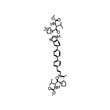 COC(=O)N[C@H](C(=O)N1CCC[C@H]1/C(C)=N/C=C/c1ccc(-c2ccc(-c3ccc4[nH]c([C@@H]5C[Si](C)(C)CN5C(=O)[C@@H](NC(=O)OC)C(C)C)nc4c3)cc2)cc1)C(C)C